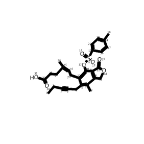 CCC#CCc1c(C)c2c(c(OS(=O)(=O)c3ccc(C)cc3)c1CC=C(C)CCC(=O)O)C(=O)OC2